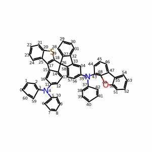 c1ccc(N(c2ccccc2)c2ccc3c(c2)-c2c(sc4ccccc24)C32c3ccccc3-c3cc(N(c4ccccc4)c4cccc5c4oc4ccccc45)ccc32)cc1